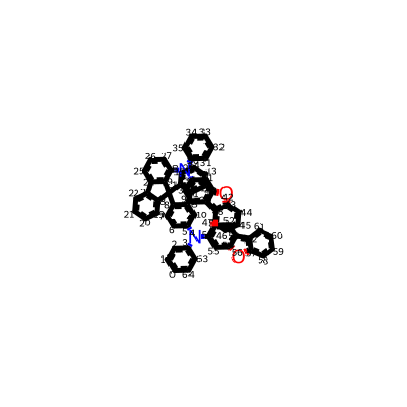 c1ccc(N(c2ccc3c(c2)-c2ccccc2C32c3ccccc3-c3cccc(N(c4ccccc4)c4ccc5c(c4)oc4ccccc45)c32)c2ccc3c(c2)oc2ccccc23)cc1